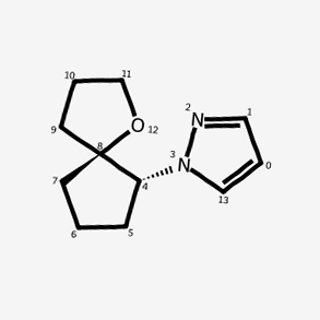 c1cnn([C@@H]2CCC[C@]23CCCO3)c1